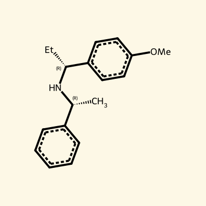 CC[C@@H](N[C@H](C)c1ccccc1)c1ccc(OC)cc1